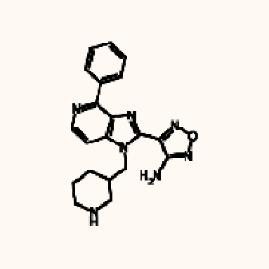 Nc1nonc1-c1nc2c(-c3ccccc3)nccc2n1CC1CCCNC1